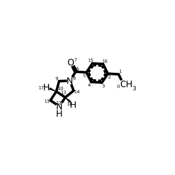 CCc1ccc(C(=O)N2C[C@H]3CN[C@H]3C2)cc1